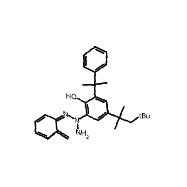 C=C1C=CC=C/C1=N/N(N)c1cc(C(C)(C)CC(C)(C)C)cc(C(C)(C)c2ccccc2)c1O